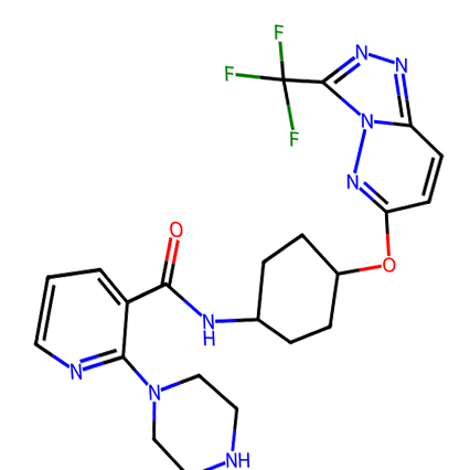 O=C(NC1CCC(Oc2ccc3nnc(C(F)(F)F)n3n2)CC1)c1cccnc1N1CCNCC1